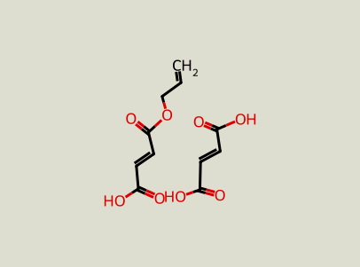 C=CCOC(=O)/C=C/C(=O)O.O=C(O)/C=C/C(=O)O